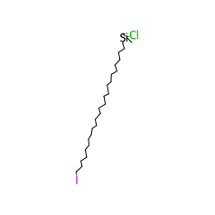 C[Si](C)(Cl)CCCCCCCCCCCCCCCCCCCCCCCCCI